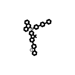 CC1(C)c2cc(-c3ccc4c(c3)oc3ccccc34)ccc2-c2ccc(N(c3ccc(-c4ccc(-c5ccccc5)cc4)cc3)c3cc4ccccc4c4ccccc34)cc21